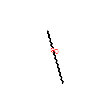 CC/C=C/CC/C=C/COC(=O)CCCCCCCCCCCCCCC